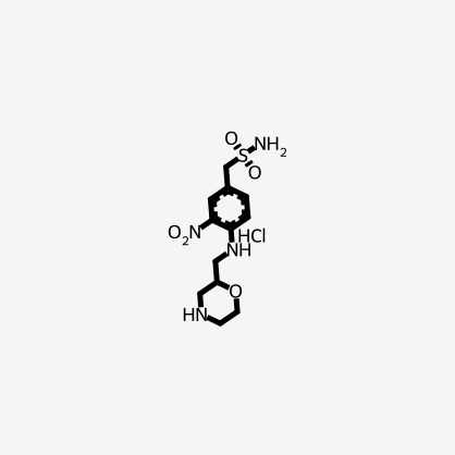 Cl.NS(=O)(=O)Cc1ccc(NCC2CNCCO2)c([N+](=O)[O-])c1